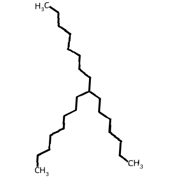 CCCCCCCCC(CCCCCCC)CCCCCCCC